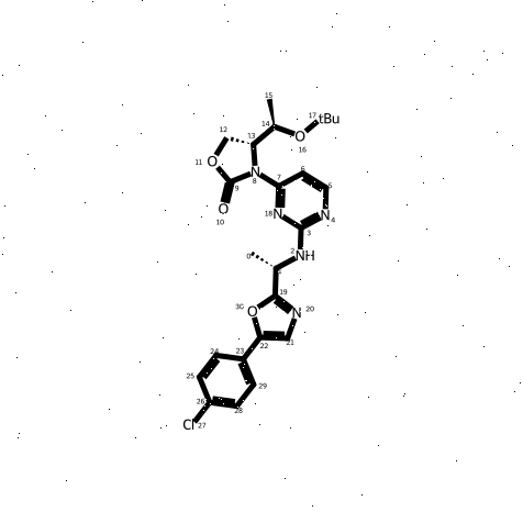 C[C@H](Nc1nccc(N2C(=O)OC[C@@H]2[C@@H](C)OC(C)(C)C)n1)c1ncc(-c2ccc(Cl)cc2)o1